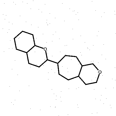 C1CCC2OC(C3CCC4CCOCC4CC3)CCC2C1